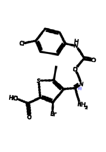 Cc1sc(C(=O)O)c(Br)c1/C(N)=N\OC(=O)Nc1ccc(Cl)cc1